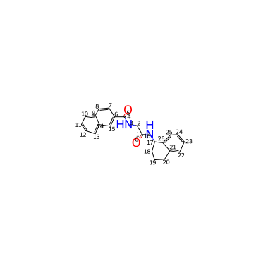 O=C(CNC(=O)c1ccc2ccccc2c1)NC1CCCc2ccccc21